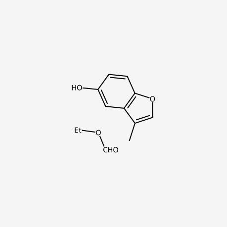 CCOC=O.Cc1coc2ccc(O)cc12